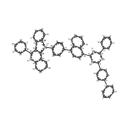 c1ccc(-c2ccc(-c3nc(-c4ccccc4)nc(-c4ccc(-c5ccc(-n6c7ccccc7c7c(-c8ccccc8)nc8ccccc8c76)cc5)c5ccccc45)n3)cc2)cc1